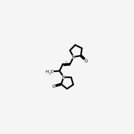 CC(/C=C/N1CCCC1=O)N1CCCC1=O